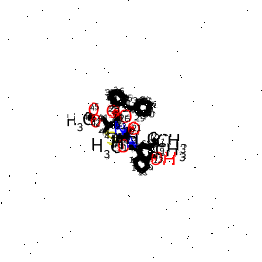 CO[C@@]1(N=Cc2cc(C(C)(C)C)c(O)c3c2CCCC3)C(=O)N2C(C(=O)OC(c3ccccc3)c3ccccc3)=C(COC(C)=O)CS[C@H]21